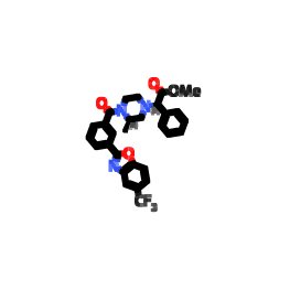 COC(=O)[C@@H](c1ccccc1)N1CCN(C(=O)c2cccc(-c3nc4cc(C(F)(F)F)ccc4o3)c2)[C@H](C)C1